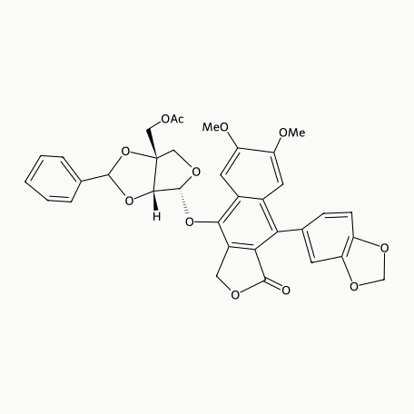 COc1cc2c(O[C@H]3OC[C@@]4(COC(C)=O)OC(c5ccccc5)O[C@@H]34)c3c(c(-c4ccc5c(c4)OCO5)c2cc1OC)C(=O)OC3